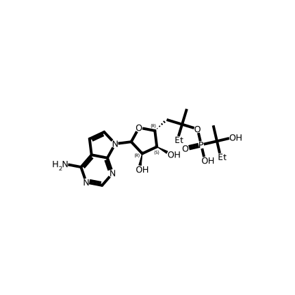 CCC(C)(C[C@H]1OC(n2ccc3c(N)ncnc32)[C@H](O)[C@@H]1O)OP(=O)(O)C(C)(O)CC